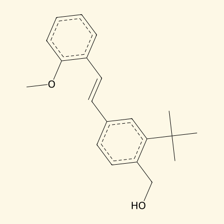 COc1ccccc1C=Cc1ccc(CO)c(C(C)(C)C)c1